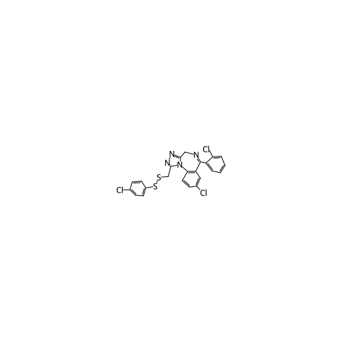 Clc1ccc(SSCc2nnc3n2-c2ccc(Cl)cc2C(c2ccccc2Cl)=NC3)cc1